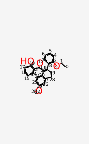 CCOc1ccccc1C1=C(C(=O)c2ccccc2O)c2ccc(OC)cc2CC1